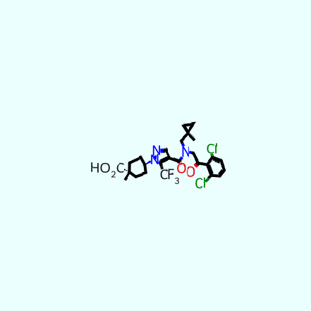 CC1(CN(CC(=O)c2c(Cl)cccc2Cl)C(=O)c2cnn([C@H]3CC[C@](C)(C(=O)O)CC3)c2C(F)(F)F)CC1